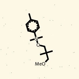 COCC(C)(C)CO[Si](C)(C)c1ccc(C)cc1